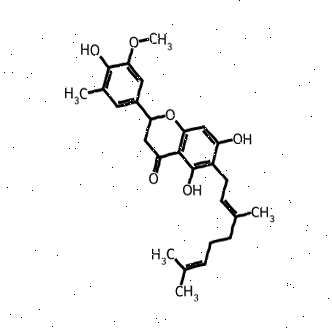 COc1cc(C2CC(=O)c3c(cc(O)c(C/C=C(\C)CCC=C(C)C)c3O)O2)cc(C)c1O